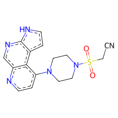 N#CCS(=O)(=O)N1CCN(c2ccnc3cnc4[nH]ccc4c23)CC1